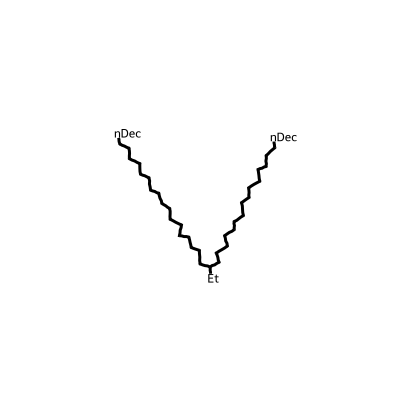 [CH2]CC(CCCCCCCCCCCCCCCCCCCCCCCCC)CCCCCCCCCCCCCCCCCCCCCCCCCCC